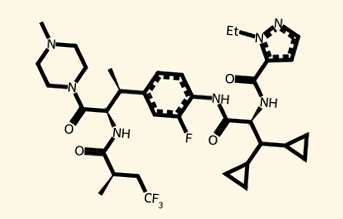 CCn1nccc1C(=O)N[C@H](C(=O)Nc1ccc([C@H](C)[C@@H](NC(=O)[C@H](C)CC(F)(F)F)C(=O)N2CCN(C)CC2)cc1F)C(C1CC1)C1CC1